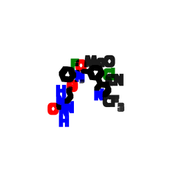 COc1cc(Cl)c(-c2cnc(C(F)(F)F)cc2C#N)cc1C(=O)N(C)c1c(F)cccc1OCCc1n[nH]c(=O)[nH]1